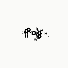 Cn1c(=O)c(C#N)c(N2CCN(Cc3cccc4c3NC(=O)C4)CC2)c2nc(Br)ccc21